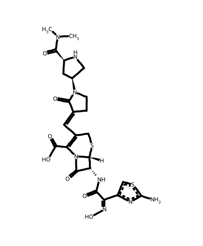 CN(C)C(=O)[C@@H]1C[C@H](N2CC/C(=C\C3=C(C(=O)O)N4C(=O)[C@@H](NC(=O)/C(=N\O)c5csc(N)n5)[C@H]4SC3)C2=O)CN1